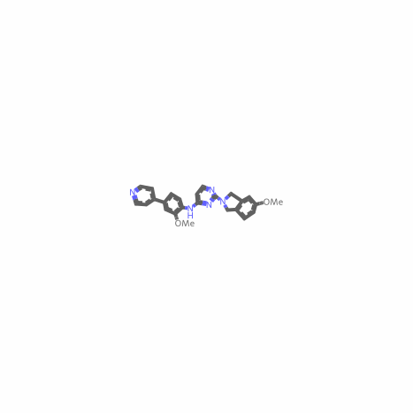 COc1ccc2c(c1)CN(c1nccc(Nc3ccc(-c4ccncc4)cc3OC)n1)C2